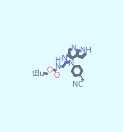 CC(C)(C)COC(=O)NCc1nc2cnc3[nH]ccc3c2n1[C@H]1CC[C@H](CC#N)CC1